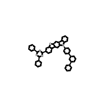 c1ccc(-c2cccc(-c3ccc(-n4c5ccccc5c5cc6oc7cc(-c8nc(-c9ccccc9)nc(-c9ccccc9)n8)ccc7c6cc54)cc3)c2)cc1